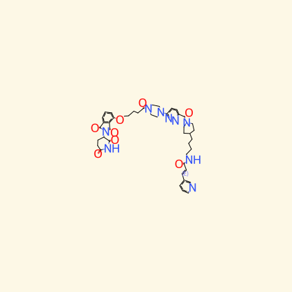 O=C(/C=C/c1cccnc1)NCCCCC1CCN(C(=O)c2ccc(N3CCN(C(=O)CCCCOc4cccc5c4C(=O)N(C4CCC(=O)NC4=O)C5=O)CC3)nn2)CC1